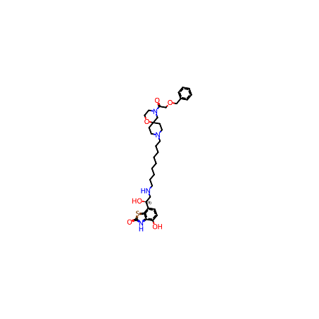 O=C(COCc1ccccc1)N1CCOC2(CCN(CCCCCCCCCNC[C@H](O)c3ccc(O)c4[nH]c(=O)sc34)CC2)C1